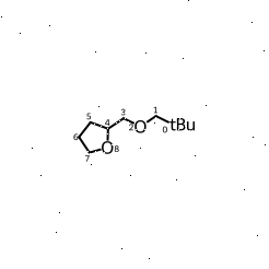 CC(C)(C)COCC1CCCO1